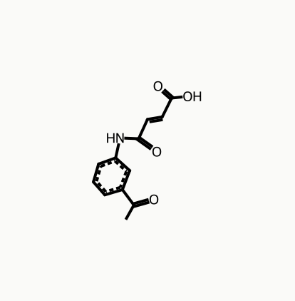 CC(=O)c1cccc(NC(=O)C=CC(=O)O)c1